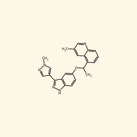 Cc1cnc2cccc(C(C)Oc3ccc4[nH]nc(-c5cnn(C)c5)c4c3)c2c1